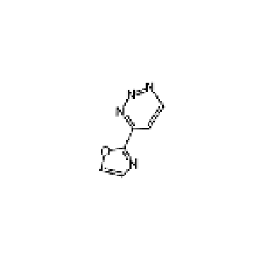 c1cc(-c2ncco2)nnn1